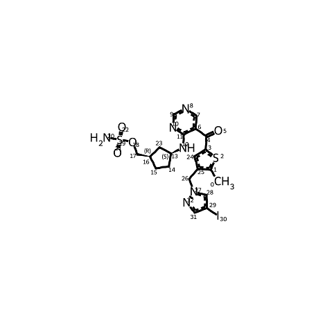 Cc1sc(C(=O)c2cncnc2N[C@H]2CC[C@@H](COS(N)(=O)=O)C2)cc1Cn1cc(I)cn1